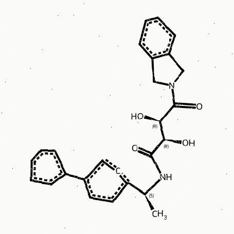 C[C@H](NC(=O)[C@H](O)[C@@H](O)C(=O)N1Cc2ccccc2C1)c1ccc(-c2ccccc2)cc1